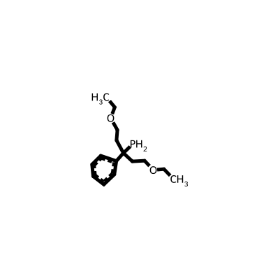 CCOCCC(P)(CCOCC)c1ccccc1